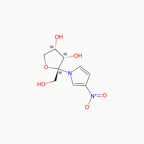 O=[N+]([O-])c1ccn([C@]2(CO)OC[C@H](O)[C@@H]2O)c1